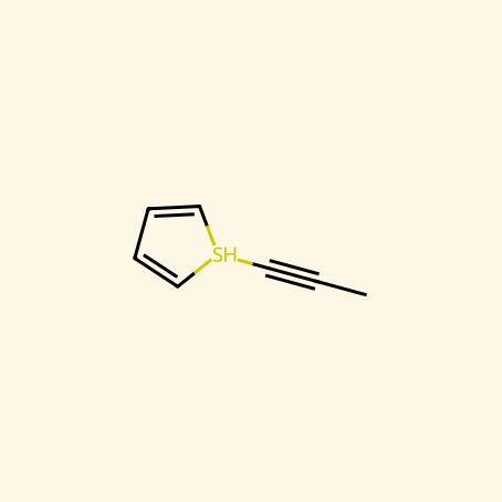 CC#C[SH]1C=CC=C1